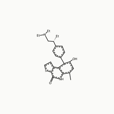 CC[C@@H](CN(CC)CC)c1ccc(-c2c(O)cc(C)c3[nH]c(=O)c4sccc4c23)cc1